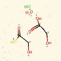 Cl.O.O=C(O)CO.O=C(S)CO